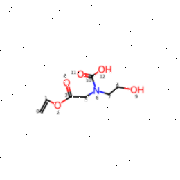 C=COC(=O)CN(CCO)C(=O)O